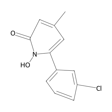 Cc1cc(-c2cccc(Cl)c2)n(O)c(=O)c1